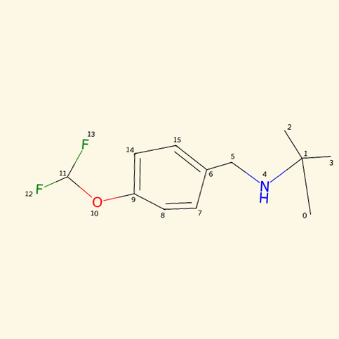 CC(C)(C)NCc1ccc(OC(F)F)cc1